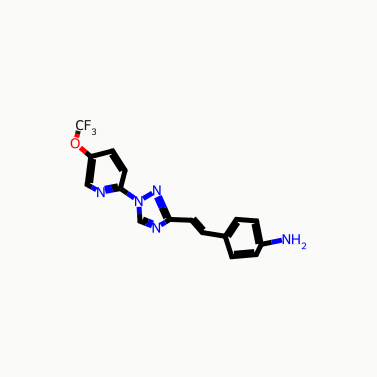 Nc1ccc(C=Cc2ncn(-c3ccc(OC(F)(F)F)cn3)n2)cc1